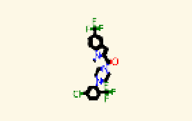 Cn1c(C(=O)N2CCN(c3cc(Cl)ccc3C(F)(F)F)CC2)cc2cc(C(F)(F)F)ccc21